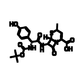 CC1C=C(C(=O)O)N2C(=O)C(NC(=O)[C@H](NC(=O)OC(C)(C)C)c3ccc(O)cc3)[C@@H]2S1